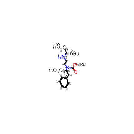 CCCC[C@H](NCCN(C(=O)OC(C)(C)C)[C@H](Cc1ccccc1)C(=O)O)C(=O)O